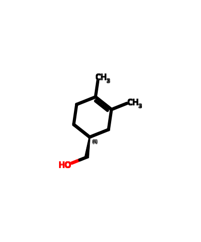 CC1=C(C)C[C@@H](CO)CC1